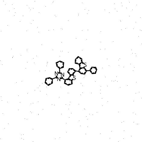 c1ccc(-c2nc(-c3ccccc3)nc(-c3cccc4sc5c(-c6ccc(-c7ccccc7)c7sc8ccccc8c67)cccc5c34)n2)cc1